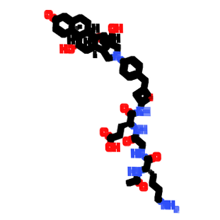 CC(=O)N[C@@H](CCCCN)C(=O)NCC(=O)N[C@@H](CCC(=O)O)C(=O)NC12CC(Cc3ccc(N4C[C@@H]5C[C@H]6[C@@H]7CCC8=CC(=O)C=C[C@]8(C)[C@H]7[C@@H](O)C[C@]6(C)[C@]5(C(=O)CO)C4)cc3)(C1)C2